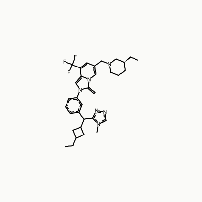 C=C1N2C=C(CN3CCC[C@H](CC)C3)C=C(C(F)(F)F)C2=CN1c1cccc(C(c2nncn2C)C2CC(CC)C2)c1